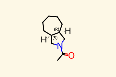 CC(=O)N1C[C@H]2CCCCC[C@H]2C1